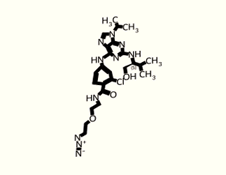 CC(C)[C@@H](CO)Nc1nc(Nc2ccc(C(=O)NCCOCCN=[N+]=[N-])c(Cl)c2)c2ncn(C(C)C)c2n1